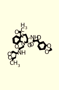 CC(=O)C[C@@H](C=O)NC(=O)CN1C(=O)[C@@H](NC(=O)C(=O)c2ccc3c(c2)OCO3)CN(C(C)=O)c2ccccc21